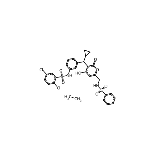 CC.O=c1oc(CNS(=O)(=O)c2ccccc2)cc(O)c1C(c1cccc(NS(=O)(=O)c2cc(Cl)ccc2Cl)c1)C1CC1